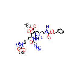 CC(C)(C)OC(=O)NCCCC[C@H](NC(=O)CN=[N+]=[N-])C(=O)[C@](N)(CCCCNC(=O)OCc1ccccc1)C(=O)OC(C)(C)C